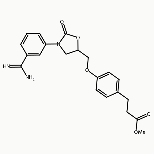 COC(=O)CCc1ccc(OCC2CN(c3cccc(C(=N)N)c3)C(=O)O2)cc1